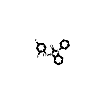 O=c1n(Nc2ccc(F)cc2F)c2ccccc2n1-c1ccccc1